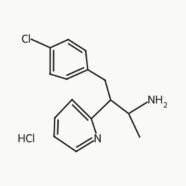 CC(N)C(Cc1ccc(Cl)cc1)c1ccccn1.Cl